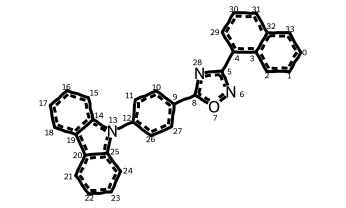 c1ccc2c(-c3noc(-c4ccc(-n5c6ccccc6c6ccccc65)cc4)n3)cccc2c1